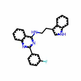 Fc1cccc(-c2nc(NCCc3c[nH]c4ccccc34)c3ccccc3n2)c1